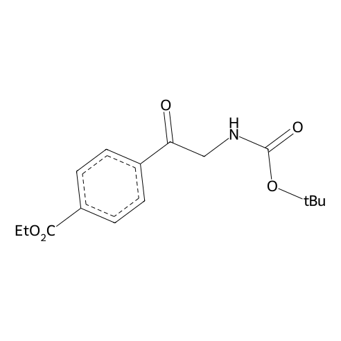 CCOC(=O)c1ccc(C(=O)CNC(=O)OC(C)(C)C)cc1